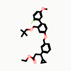 CCOC(=O)CC(c1cccc(COc2ccc(-c3cc(OC)ccc3F)c(COCC(C)(C)C)c2)c1)C1CC1